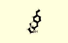 C=Cc1ccc(Cc2[nH]cc[n+]2C)cc1